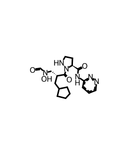 O=CN(O)C[C@@H](CC1CCCC1)C(=O)N1NCC[C@H]1C(=O)Nc1cccnn1